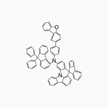 c1ccc(C2(c3ccccc3)c3ccccc3-c3c(N(c4ccc(-c5ccc6oc7ccccc7c6c5)cc4)c4ccc5c(c4)-n4c6ccccc6c6cccc(c64)C54c5ccccc5-c5ccccc54)cccc32)cc1